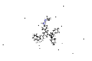 C=N/C(C)=C\C=C(/C)c1ccc(-c2cc(-c3ccc4c(c3)-c3ccccc3C4(C)C)cc(-c3nc(-c4ccccc4)cc(-c4ccccc4)n3)c2)cc1